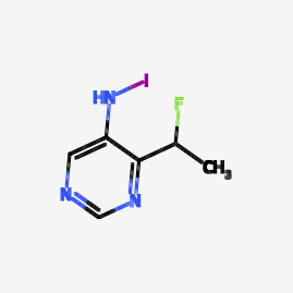 CC(F)c1ncncc1NI